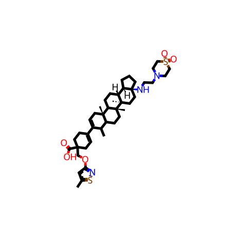 Cc1cc(OCC2(C(=O)O)CC=C(C3=CC[C@@]4(C)C(CC[C@]5(C)C4CC[C@@H]4[C@H]6CCC[C@]6(NCCN6CCS(=O)(=O)CC6)CC[C@]45C)C3C)CC2)ns1